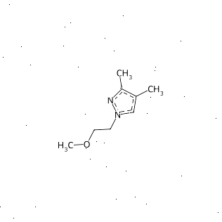 COCCn1cc(C)c(C)n1